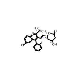 CC(C)c1nc2ccc(Cl)cc2c(-c2ccccc2F)c1/C=C/[C@H]1C[C@H](O)CC(=O)O1